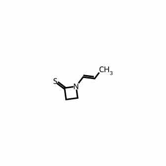 C/C=C/N1CCC1=S